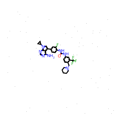 Nc1ncnc2c1c(-c1ccc(NC(=O)Nc3ccc(CN4CCCCC4)c(C(F)(F)F)c3)c(F)c1)cn2C1CC1